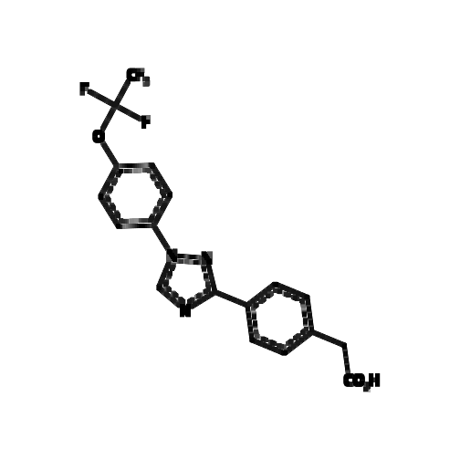 O=C(O)Cc1ccc(-c2ncn(-c3ccc(OC(F)(F)C(F)(F)F)cc3)n2)cc1